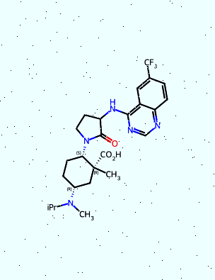 CC(C)N(C)[C@@H]1CC[C@H](N2CCC(Nc3ncnc4ccc(C(F)(F)F)cc34)C2=O)[C@](C)(C(=O)O)C1